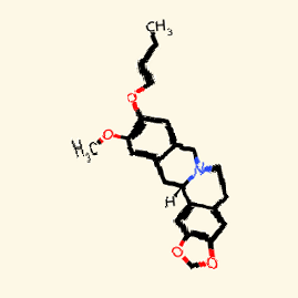 CCCCOc1cc2c(cc1OC)C[C@H]1c3cc4c(cc3CCN1C2)OCO4